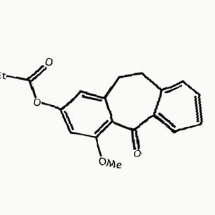 CCC(=O)Oc1cc2c(c(OC)c1)C(=O)c1ccccc1CC2